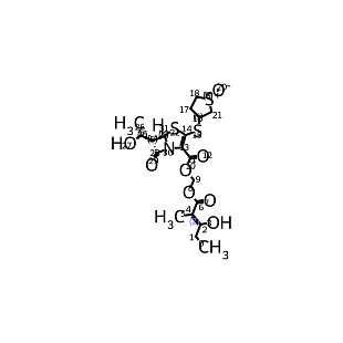 CC/C(O)=C(\C)C(=O)OCOC(=O)C1=C(S[C@H]2CC[S@@+]([O-])C2)S[C@@H]2[C@@H]([C@@H](C)O)C(=O)N12